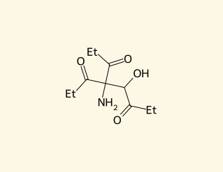 CCC(=O)C(O)C(N)(C(=O)CC)C(=O)CC